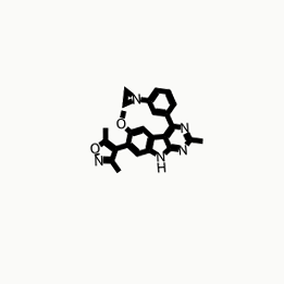 COc1cc2c(cc1-c1c(C)noc1C)[nH]c1nc(C)nc(-c3cccc(N4CC4)c3)c12